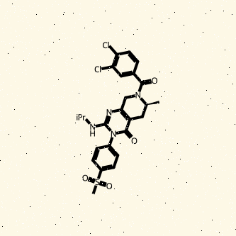 CC(C)Nc1nc2c(c(=O)n1-c1ccc(S(C)(=O)=O)cc1)C[C@H](C)N(C(=O)c1ccc(Cl)c(Cl)c1)C2